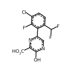 O=C(O)c1nc(-c2c(C(F)F)ccc(Cl)c2F)cnc1O